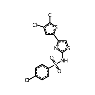 O=S(=O)(Nc1nc(-c2cc(Cl)c(Cl)s2)cs1)c1ccc(Cl)cc1